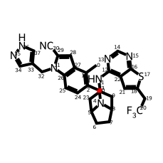 Cc1c(CN2C3CCC2CC(Nc2ncnc4sc(CC(F)(F)F)cc24)C3)ccc2c1cc(C#N)n2Cc1cn[nH]c1